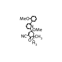 COc1ccccc1-c1cccc(C2(OC)C=C(C#N)C(=O)C(C)(C)C2)n1